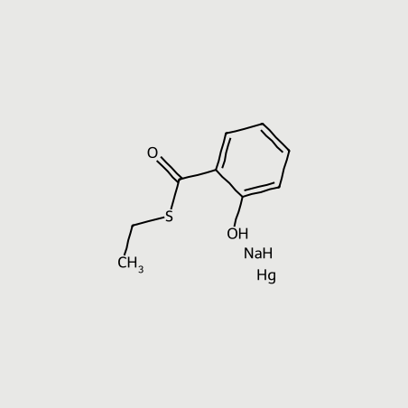 CCSC(=O)c1ccccc1O.[Hg].[NaH]